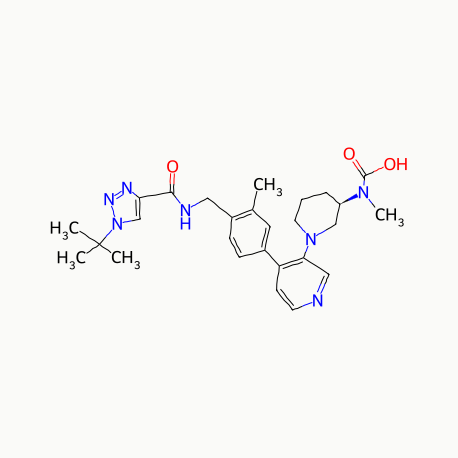 Cc1cc(-c2ccncc2N2CCC[C@@H](N(C)C(=O)O)C2)ccc1CNC(=O)c1cn(C(C)(C)C)nn1